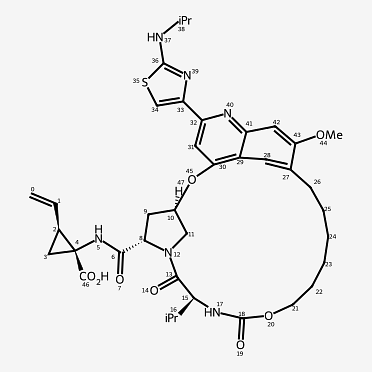 C=C[C@@H]1C[C@]1(NC(=O)[C@@H]1C[C@@H]2CN1C(=O)[C@H](C(C)C)NC(=O)OCCCCCCc1cc3c(cc(-c4csc(NC(C)C)n4)nc3cc1OC)O2)C(=O)O